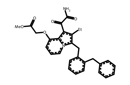 CCc1c(C(=O)C(N)=O)c2c(OCC(=O)OC)cccn2c1Cc1ccccc1Cc1ccccc1